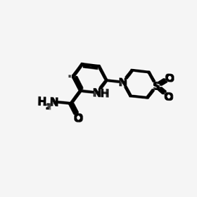 NC(=O)C1=[C]C=CC(N2CCS(=O)(=O)CC2)N1